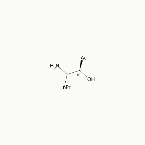 CCCC(N)[C@H](O)C(C)=O